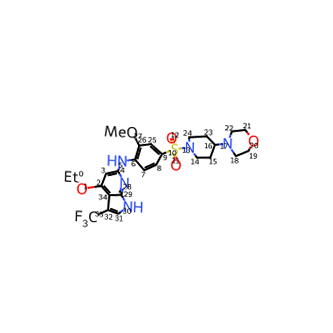 CCOc1cc(Nc2ccc(S(=O)(=O)N3CCC(N4CCOCC4)CC3)cc2OC)nc2[nH]cc(C(F)(F)F)c12